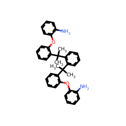 CC(C)(c1ccccc1Oc1ccccc1N)c1ccccc1C(C)(C)c1ccccc1Oc1ccccc1N